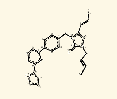 CC=CCn1nc(C=CCC)n(Cc2ccc(-c3cccc(-c4nnn[nH]4)c3)cc2)c1=O